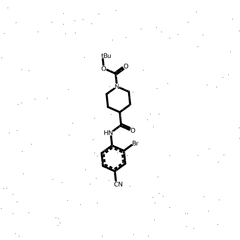 CC(C)(C)OC(=O)N1CCC(C(=O)Nc2ccc(C#N)cc2Br)CC1